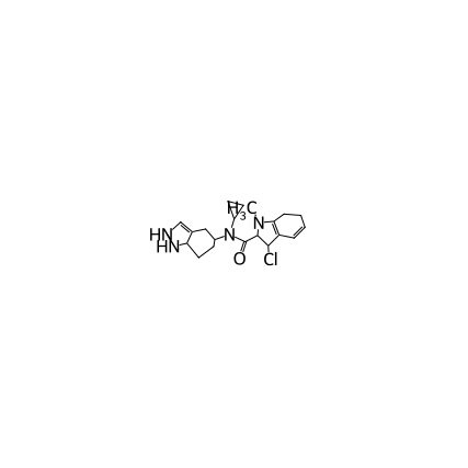 CN1C2=C(C=CCC2)C(Cl)C1C(=O)N(C1CC1)C1CCC2NNC=C2C1